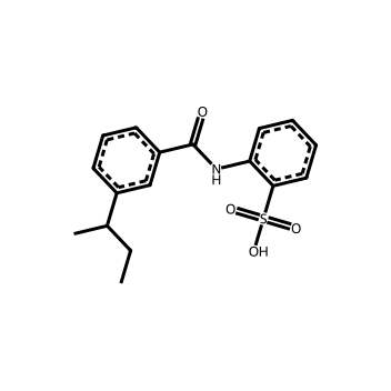 CCC(C)c1cccc(C(=O)Nc2ccccc2S(=O)(=O)O)c1